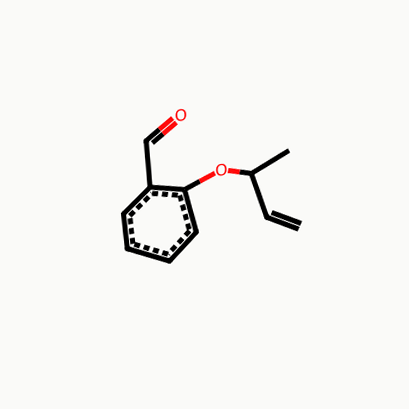 C=CC(C)Oc1ccccc1C=O